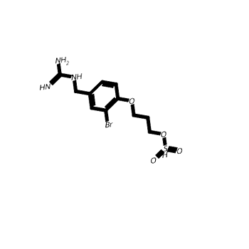 N=C(N)NCc1ccc(OCCCO[SH](=O)=O)c(Br)c1